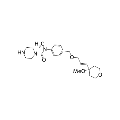 COC1(/C=C/COCc2ccc(N(C)C(=O)N3CCNCC3)cc2)CCOCC1